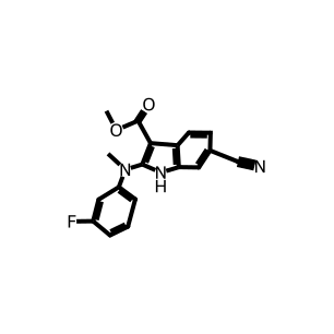 COC(=O)c1c(N(C)c2cccc(F)c2)[nH]c2cc(C#N)ccc12